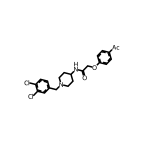 CC(=O)c1ccc(OCC(=O)NC2CCN(Cc3ccc(Cl)c(Cl)c3)CC2)cc1